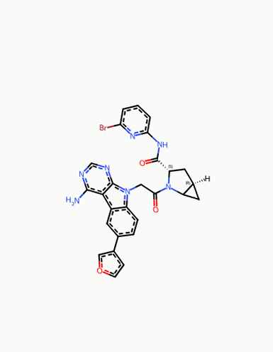 Nc1ncnc2c1c1cc(-c3ccoc3)ccc1n2CC(=O)N1C2C[C@@H]2C[C@H]1C(=O)Nc1cccc(Br)n1